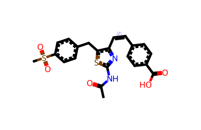 CC(=O)Nc1nc(/C=C\c2ccc(C(=O)O)cc2)c(Cc2ccc(S(C)(=O)=O)cc2)s1